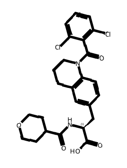 O=C(N[C@@H](Cc1ccc2c(c1)CCCN2C(=O)c1c(Cl)cccc1Cl)C(=O)O)C1CCOCC1